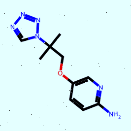 CC(C)(COc1ccc(N)nc1)n1cnnn1